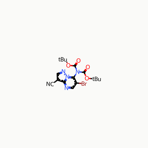 CC(C)(C)OC(=O)N(C(=O)OC(C)(C)C)c1c(Br)cnc2c(C#N)cnn12